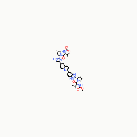 COC(=O)N[C@H](C(=O)N1C[C@@H](C)C[C@H]1c1nc(-c2ccc3nc(-c4ccc5[nH]c([C@@H]6C[C@H](C)CN6C(=O)[C@@H](NC(=O)OC)C(C)C)nc5c4)ccc3c2)c[nH]1)C(C)C